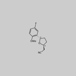 COc1ccc(F)cc1[C@@H]1CC[C@@H](CC#N)O1